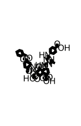 COc1ccc(S(=O)(=O)Cc2ccccc2)cc1N=Nc1c(S(=O)(=O)O)cc2c(S(=O)(=O)O)ccc(Nc3nc(C)nc(Nc4ccc(C(=O)O)cc4)n3)c2c1O